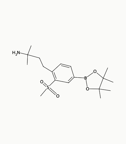 CC(C)(N)CCc1ccc(B2OC(C)(C)C(C)(C)O2)cc1S(C)(=O)=O